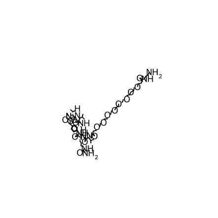 CNC(=O)C(NC(=O)[C@@H](C(C)C)N(C)C(=O)OCc1ccc(NC(=O)[C@H](CCCNC(N)=O)NC(=O)[C@@H](NC(=O)CCOCCOCCOCCOCCOCCOCCOCCOCCC(=O)NCCN)C(C)C)cc1)C(C)C